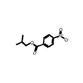 CC(C)COC(=O)c1ccc([N+](=O)[O-])cc1